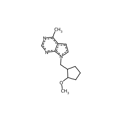 COC1CCCC1Cn1ccc2c(C)ncnc21